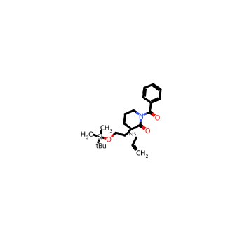 C=CC[C@]1(CCO[Si](C)(C)C(C)(C)C)CCCN(C(=O)c2ccccc2)C1=O